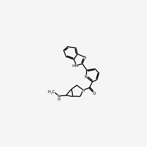 CNC1C2CN(C(=O)c3cccc(-c4nc5ccccc5[nH]4)n3)CC21